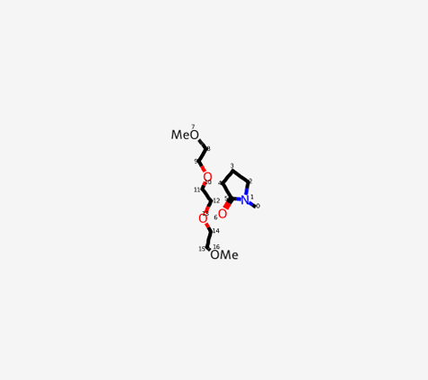 CN1CCCC1=O.COCCOCCOCCOC